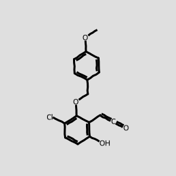 COc1ccc(COc2c(Cl)ccc(O)c2C=C=O)cc1